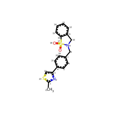 Cc1nc(-c2ccc(CN3Cc4ccccc4S3(=O)=O)cc2)cs1